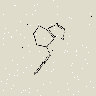 [N-]=[N+]=NC1CCOc2ncsc21